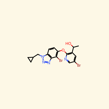 CC(O)c1cc(Br)cnc1Oc1ccc2c(nnn2CC2CC2)c1Br